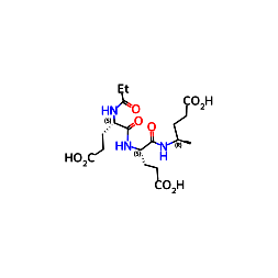 CCC(=O)N[C@@H](CCC(=O)O)C(=O)N[C@@H](CCC(=O)O)C(=O)N[C@H](C)CCC(=O)O